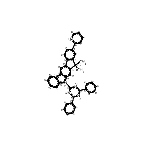 CC1(C)c2cc(-c3ccccn3)ccc2-c2cc3c4ccccc4n(-c4nc(-c5ccccc5)nc(-c5ccccc5)n4)c3cc21